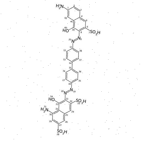 Nc1ccc2cc(S(=O)(=O)O)c(/N=N/c3ccc(-c4ccc(/N=N/c5c(S(=O)(=O)O)cc6cc(S(=O)(=O)O)cc(N)c6c5O)cc4)cc3)c(O)c2c1